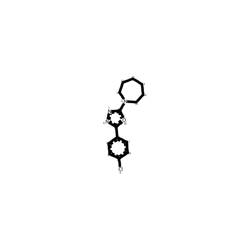 Clc1ccc(-c2nnc(N3CCCCCC3)o2)cc1